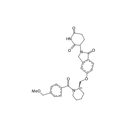 COCc1ccc(C(=O)N2CCCC[C@@H]2COc2ccc3c(c2)CN(C2CCC(=O)NC2=O)C3=O)cc1